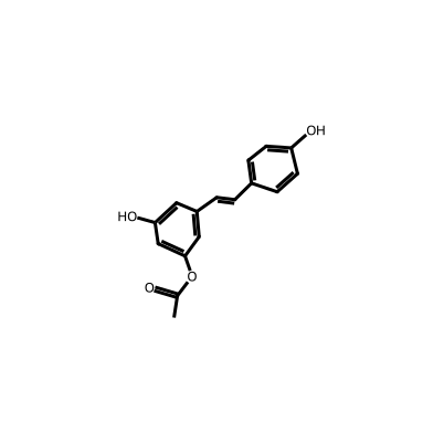 CC(=O)Oc1cc(O)cc(C=Cc2ccc(O)cc2)c1